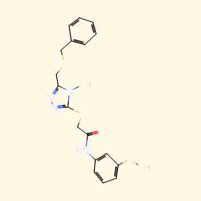 CSc1cccc(NC(=O)CSc2nnc(CSCc3ccccc3)n2C)c1